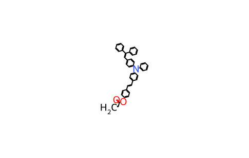 C=CC(=O)Oc1ccc(/C=C/c2ccc(N(c3ccccc3)c3ccc(C=C(c4ccccc4)c4ccccc4)cc3)cc2)cc1